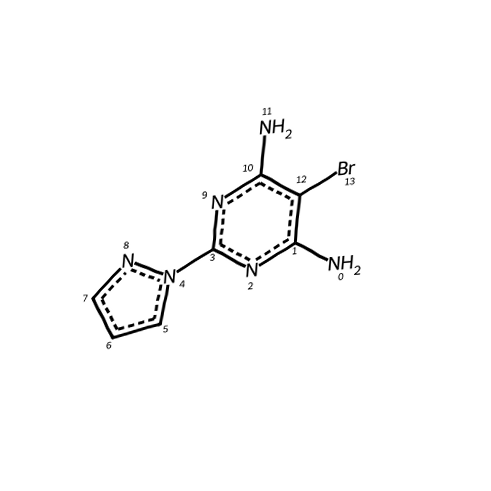 Nc1nc(-n2cccn2)nc(N)c1Br